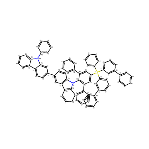 c1cccc(-c2cc(S(c3ccccc3)(c3cccc(-c4ccccc4)c3)c3cccc(-c4ccccc4)c3)cc(-c3ccccc3)c2-n2c3c(c4cc(-c5ccc6c7ccccc7n(-c7ccccc7)c6c5)ccc42)C=CCC3)c#1